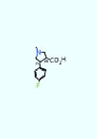 CN1C[C@H](c2ccc(F)cc2)[C@H](C(=O)O)C1